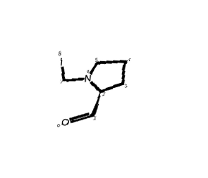 O=C[C@@H]1CCCN1CI